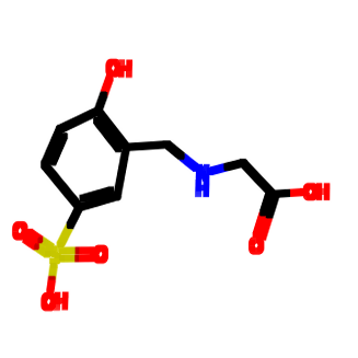 O=C(O)CNCc1cc(S(=O)(=O)O)ccc1O